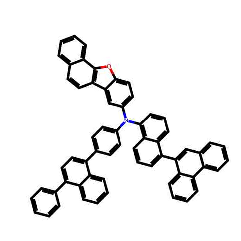 c1ccc(-c2ccc(-c3ccc(N(c4ccc5oc6c7ccccc7ccc6c5c4)c4cccc5c(-c6cc7ccccc7c7ccccc67)cccc45)cc3)c3ccccc23)cc1